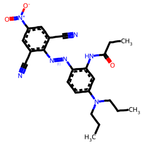 CCCN(CCC)c1ccc(/N=N/c2c(C#N)cc([N+](=O)[O-])cc2C#N)c(NC(=O)CC)c1